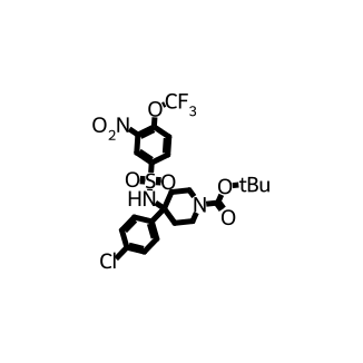 CC(C)(C)OC(=O)N1CCC(NS(=O)(=O)c2ccc(OC(F)(F)F)c([N+](=O)[O-])c2)(c2ccc(Cl)cc2)CC1